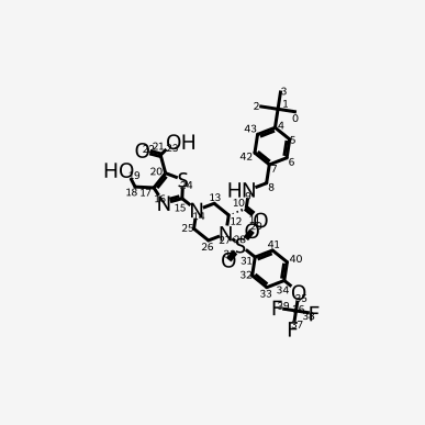 CC(C)(C)c1ccc(CNC(=O)[C@H]2CN(c3nc(CO)c(C(=O)O)s3)CCN2S(=O)(=O)c2ccc(OC(F)(F)F)cc2)cc1